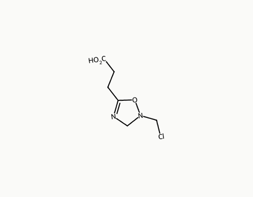 O=C(O)CCC1=NCN(CCl)O1